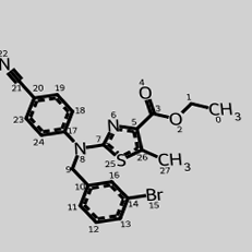 CCOC(=O)c1nc(N(Cc2cccc(Br)c2)c2ccc(C#N)cc2)sc1C